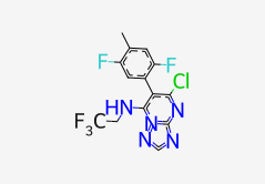 Cc1cc(F)c(-c2c(Cl)nc3ncnn3c2NCC(F)(F)F)cc1F